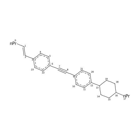 CCC/C=C/c1ccc(C#Cc2ccc(C3CCC(CCC)CC3)cc2)cc1